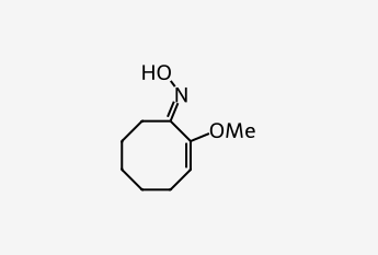 COC1=CCCCCCC1=NO